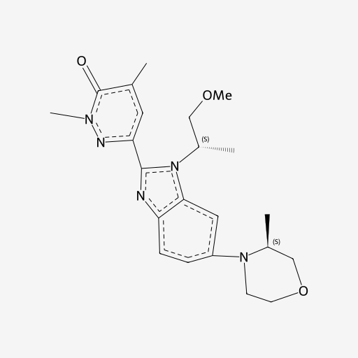 COC[C@H](C)n1c(-c2cc(C)c(=O)n(C)n2)nc2ccc(N3CCOC[C@@H]3C)cc21